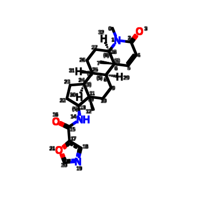 CN1C(=O)C=C[C@]2(C)[C@H]3CC[C@]4(C)[C@@H](NC(=O)c5cnco5)CC[C@H]4[C@@H]3CC[C@@H]12